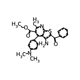 CCOC(=O)c1c(C)nc2sc(C(=O)c3ccccc3)c(N)c2c1-c1ccc(N(C)C)cc1